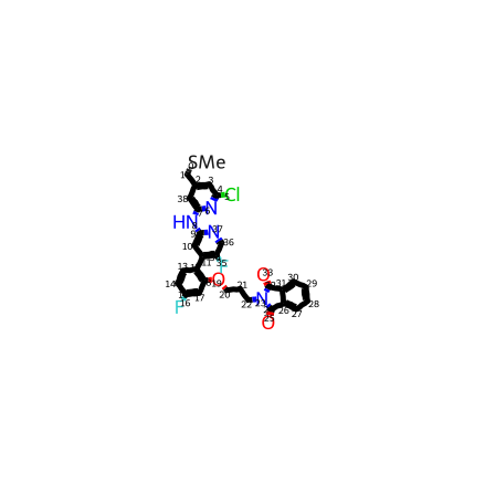 CSCc1cc(Cl)nc(Nc2cc(-c3ccc(F)cc3OCCCN3C(=O)c4ccccc4C3=O)c(F)cn2)c1